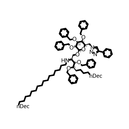 CCCCCCCCCCCCCCCCCCCCCCCCCCN[C@@H](CO[C@@H]1O[C@H](Cn2cc(-c3ccccc3)nn2)[C@H](OCc2ccccc2)[C@H](OCc2ccccc2)[C@H]1OCc1ccccc1)[C@H](OCc1ccccc1)[C@@H](CCCCCCCCCCCCCC)OCc1ccccc1